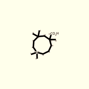 CC1(C)CC[N+](C)(C)CCCC(C)(C(=O)O)C1